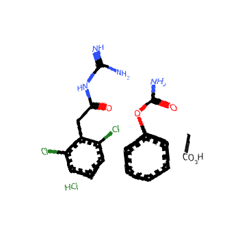 CC(=O)O.Cl.N=C(N)NC(=O)Cc1c(Cl)cccc1Cl.NC(=O)Oc1ccccc1